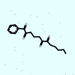 CCCCCC(=O)C(=O)CCCC(=O)C(=O)c1ccccc1